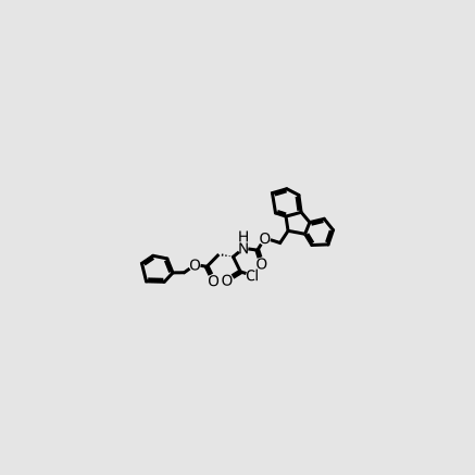 O=C(C[C@H](NC(=O)OCC1c2ccccc2-c2ccccc21)C(=O)Cl)OCc1ccccc1